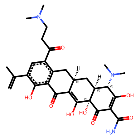 C=C(C)c1cc(C(=O)CCN(C)C)c2c(c1O)C(=O)C1=C(O)[C@]3(O)C(=O)C(C(N)=O)=C(O)[C@@H](N(C)C)[C@@H]3C[C@@H]1C2